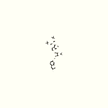 CC(C)(C)OC(=O)N(C(=O)OC(C)(C)C)c1ncnc2c1ccn2[C@@H]1O[C@H](COc2ccc3cc(Br)cnc3c2)[C@H]2OC(C)(C)O[C@H]21